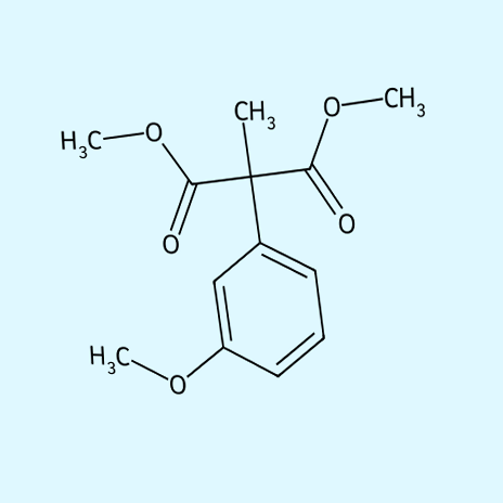 COC(=O)C(C)(C(=O)OC)c1cccc(OC)c1